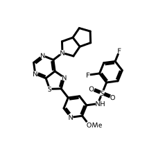 COc1ncc(-c2nc3c(N4CC5CCCC5C4)ncnc3s2)cc1NS(=O)(=O)c1ccc(F)cc1F